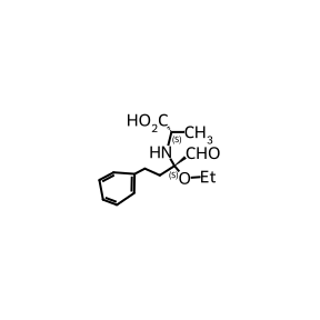 CCO[C@](C=O)(CCc1ccccc1)N[C@@H](C)C(=O)O